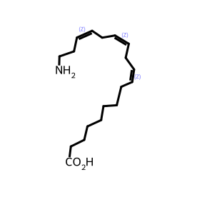 NCC/C=C\C/C=C\C/C=C\CCCCCCCC(=O)O